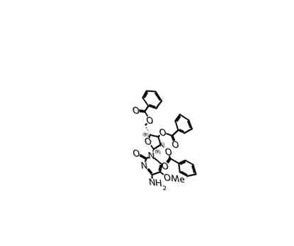 COc1cn([C@@H]2O[C@H](COC(=O)c3ccccc3)C(OC(=O)c3ccccc3)[C@@H]2OC(=O)c2ccccc2)c(=O)nc1N